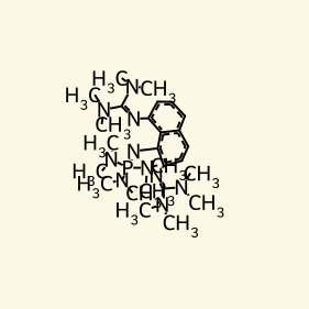 CN(C)C(=Nc1ccc2cccc(N=C(N(C)C)N(C)C)c2c1N=P(N(C)C)(N(C)C)N(C)C)N(C)C